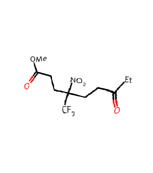 CCC(=O)CCC(CCC(=O)OC)([N+](=O)[O-])C(F)(F)F